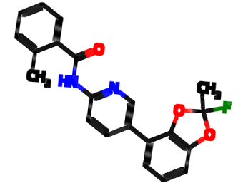 Cc1ccccc1C(=O)Nc1ccc(-c2cccc3c2OC(C)(F)O3)cn1